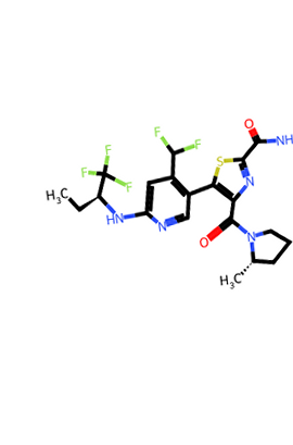 CC[C@H](Nc1cc(C(F)F)c(-c2sc(C(N)=O)nc2C(=O)N2CCC[C@@H]2C)cn1)C(F)(F)F